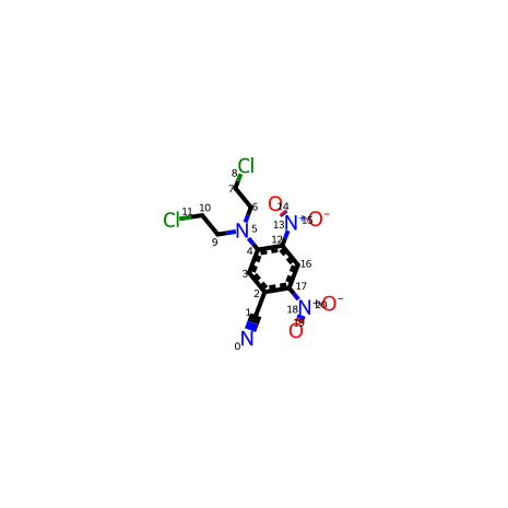 N#Cc1cc(N(CCCl)CCCl)c([N+](=O)[O-])cc1[N+](=O)[O-]